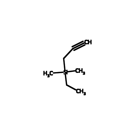 C#CC[Si](C)(C)CC